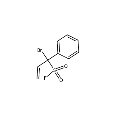 C=CC(Br)(c1ccccc1)S(=O)(=O)F